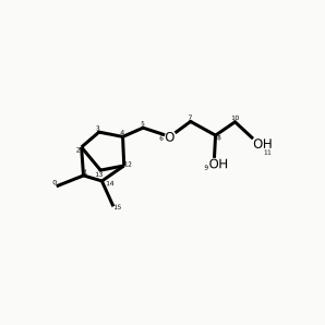 CC1C2CC(COCC(O)CO)C(C2)C1C